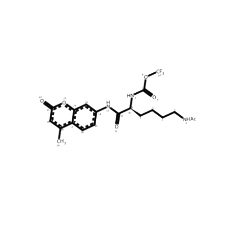 CC(=O)NCCCC[C@H](NC(=O)OC(F)(F)F)C(=O)Nc1ccc2c(C)cc(=O)oc2c1